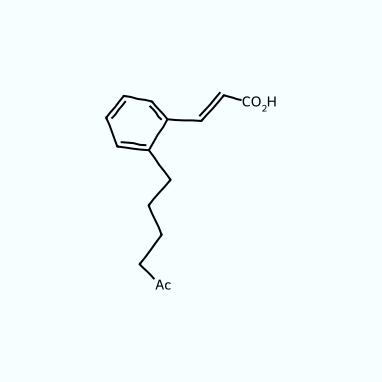 CC(=O)CCCCc1ccccc1/C=C/C(=O)O